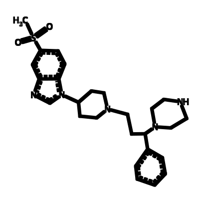 CS(=O)(=O)c1ccc2c(c1)ncn2C1CCN(CCC(c2ccccc2)N2CCNCC2)CC1